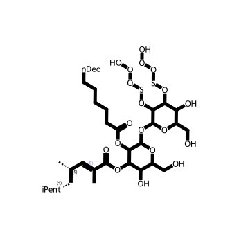 CCCCCCCCCCCCCCCC(=O)OC1C(OC2OC(CO)C(O)C(OSOOO)C2OSOOO)OC(CO)C(O)C1OC(=O)/C(C)=C/[C@@H](C)C[C@@H](C)CCC